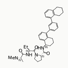 CC[C@H](NC(=O)[C@H](C)NC)C(=O)N1CCC[C@H]1C(=O)N[C@@H]1CCCc2c(-c3cccc(-c4cccc5c4CCCC5)c3)cccc21